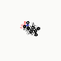 Bc1c(B)c(-n2c(-c3cccc(-c4c5c(B)c(B)c(B)c(B)c5c(-c5cc(-c6ccccc6)cc(-c6ccccc6)c5)c5c(B)c(B)c(B)c(B)c45)c3)nc3ccccc32)c(O)c(O)c1O